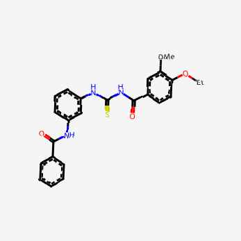 CCOc1ccc(C(=O)NC(=S)Nc2cccc(NC(=O)c3ccccc3)c2)cc1OC